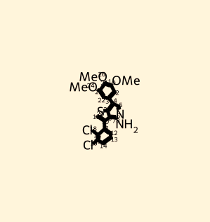 COc1cc(-c2cnc(N)c3c(-c4cccc(Cl)c4Cl)csc23)cc(OC)c1OC